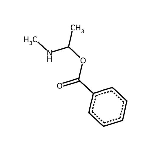 CNC(C)OC(=O)c1ccccc1